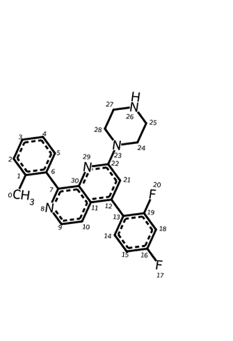 Cc1ccccc1-c1nccc2c(-c3ccc(F)cc3F)cc(N3CCNCC3)nc12